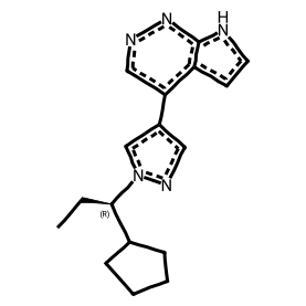 CC[C@H](C1CCCC1)n1cc(-c2cnnc3[nH]ccc23)cn1